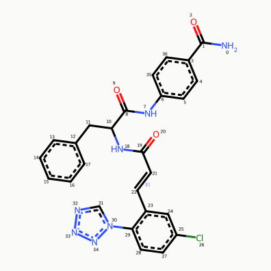 NC(=O)c1ccc(NC(=O)C(Cc2ccccc2)NC(=O)/C=C/c2cc(Cl)ccc2-n2cnnn2)cc1